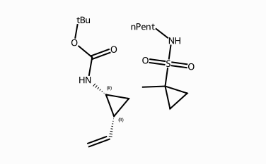 C=C[C@H]1C[C@H]1NC(=O)OC(C)(C)C.CCCCCNS(=O)(=O)C1(C)CC1